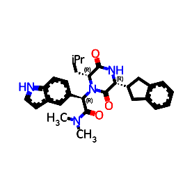 CC(C)C[C@@H]1C(=O)N[C@H](C2Cc3ccccc3C2)C(=O)N1[C@@H](C(=O)N(C)C)c1ccc2[nH]ccc2c1